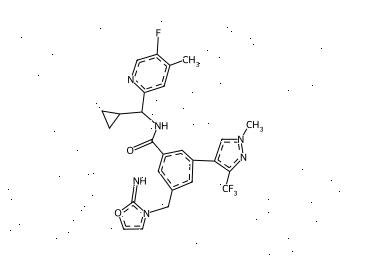 Cc1cc(C(NC(=O)c2cc(Cn3ccoc3=N)cc(-c3cn(C)nc3C(F)(F)F)c2)C2CC2)ncc1F